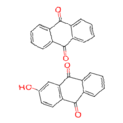 O=C1c2ccccc2C(=O)c2cc(O)ccc21.O=C1c2ccccc2C(=O)c2ccccc21